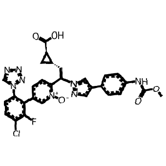 COC(=O)Nc1ccc(-c2cnn(C(C[C@@H]3C[C@H]3C(=O)O)c3ccc(-c4c(-n5cnnn5)ccc(Cl)c4F)c[n+]3[O-])c2)cc1